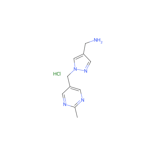 Cc1ncc(Cn2cc(CN)cn2)cn1.Cl